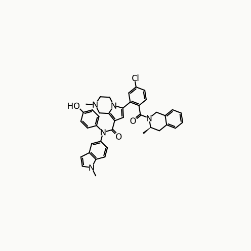 C[C@@H]1Cc2ccccc2CN1C(=O)c1ccc(Cl)cc1-c1cc(C(=O)N(c2ccc(O)cc2)c2ccc3c(ccn3C)c2)c2n1CCN(C)C2